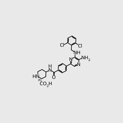 Nc1ncc(-c2ccc(C(=O)NC3CCN[C@@H](C(=O)O)C3)cc2)nc1NCc1c(Cl)cccc1Cl